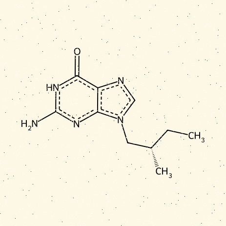 CC[C@H](C)Cn1cnc2c(=O)[nH]c(N)nc21